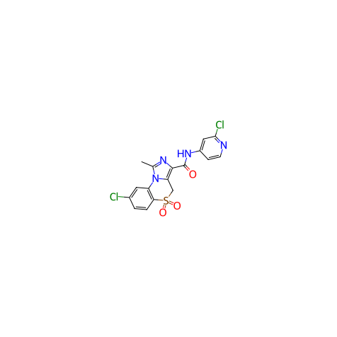 Cc1nc(C(=O)Nc2ccnc(Cl)c2)c2n1-c1cc(Cl)ccc1S(=O)(=O)C2